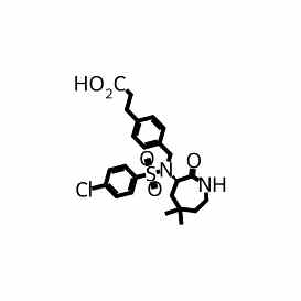 CC1(C)CCNC(=O)[C@H](N(Cc2ccc(CCC(=O)O)cc2)S(=O)(=O)c2ccc(Cl)cc2)C1